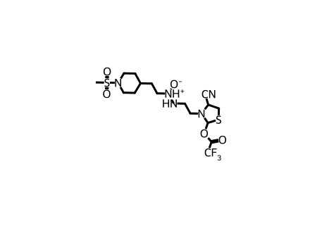 CS(=O)(=O)N1CCC(CC[NH+]([O-])NCCN2C(C#N)CSC2OC(=O)C(F)(F)F)CC1